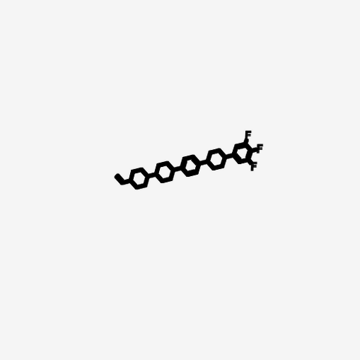 C=CC1CCC(C2CCC(c3ccc(C4CCC(c5cc(F)c(F)c(F)c5)CC4)cc3)CC2)CC1